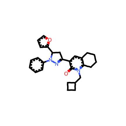 O=c1c(C2=NN(c3ccccc3)C(c3ccco3)C2)cc2c(n1CC1CCC1)CCCC2